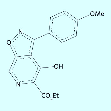 CCOC(=O)c1ncc2onc(-c3ccc(OC)cc3)c2c1O